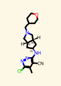 Cc1c(Cl)nnc(N[C@H]2C[C@@H]3CN(CC4CCOCC4)C[C@@H]3C2)c1C#N